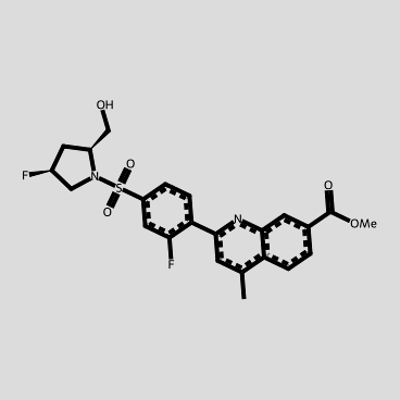 COC(=O)c1ccc2c(C)cc(-c3ccc(S(=O)(=O)N4C[C@@H](F)C[C@H]4CO)cc3F)nc2c1